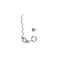 CCCCCCCCCCn1cc[n+](Cc2ccccc2)c1.[Br-]